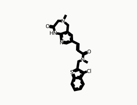 CN1CC(=O)Nc2ncc(C=CC(=O)N(C)Cc3sc4ccccc4c3Cl)cc2C1